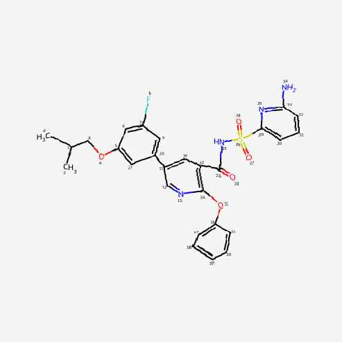 CC(C)COc1cc(F)cc(-c2cnc(Oc3ccccc3)c(C(=O)NS(=O)(=O)c3cccc(N)n3)c2)c1